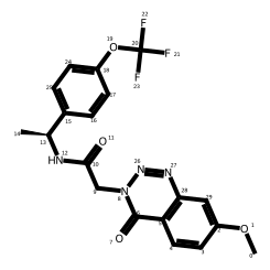 COc1ccc2c(=O)n(CC(=O)N[C@@H](C)c3ccc(OC(F)(F)F)cc3)nnc2c1